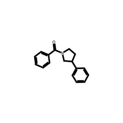 O=C(c1cc[c]cc1)N1CCC(c2ccccc2)C1